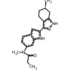 CCC(=O)N(C)c1ccc2cc(-c3n[nH]c4c3CC[C@@H](C)C4)[nH]c2c1